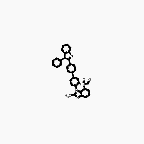 Cc1nc2cccc3c2n1-c1ccc(-c2ccc(C4=Nc5ccccc5C4c4ccccc4)cc2)cc1[SH]3(=O)C=O